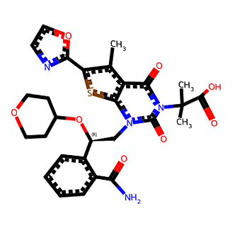 Cc1c(-c2ncco2)sc2c1c(=O)n(C(C)(C)C(=O)O)c(=O)n2C[C@H](OC1CCOCC1)c1ccccc1C(N)=O